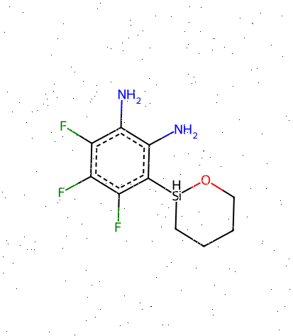 Nc1c(N)c([SiH]2CCCCO2)c(F)c(F)c1F